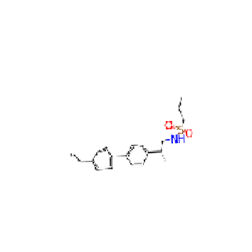 [CH2]Cc1ccc(-c2ccc([C@@H](C)CNS(=O)(=O)CCC)cc2)cc1